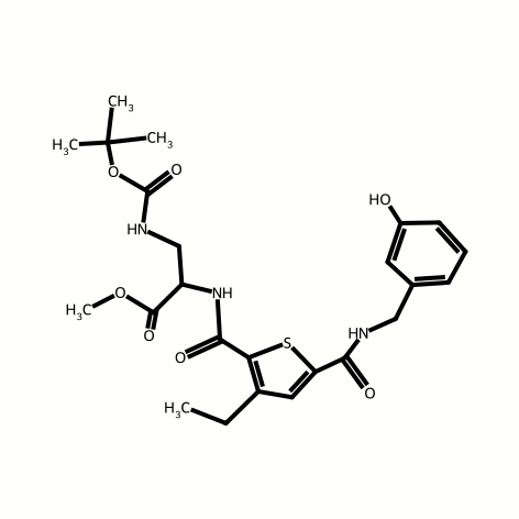 CCc1cc(C(=O)NCc2cccc(O)c2)sc1C(=O)NC(CNC(=O)OC(C)(C)C)C(=O)OC